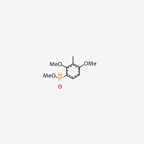 COc1ccc([PH](=O)OC)c(OC)c1C